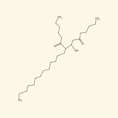 CCCCCCCCCCCCCC(C(=O)CCCCC)C(O)[CH]C(=O)CCCCC